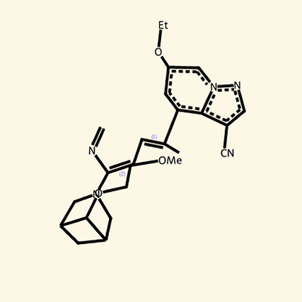 C=N/C(=C\C=C(/C)c1cc(OCC)cn2ncc(C#N)c12)N1CC2CC(C1)C2OCCOC